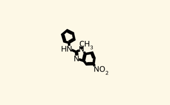 Cn1c(Nc2ccccc2)nc2cc([N+](=O)[O-])ccc21